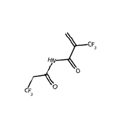 C=C(C(=O)NC(=O)CC(F)(F)F)C(F)(F)F